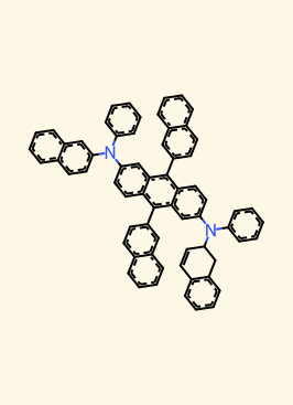 C1=CC(N(c2ccccc2)c2ccc3c(-c4ccc5ccccc5c4)c4cc(N(c5ccccc5)c5ccc6ccccc6c5)ccc4c(-c4ccc5ccccc5c4)c3c2)Cc2ccccc21